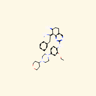 CCOc1cc(N2CCN(C3CCOCC3)CC2)ccc1Nc1ncc2c(n1)/C(=C(\Cc1ccccc1)NC)C(=N)CC2